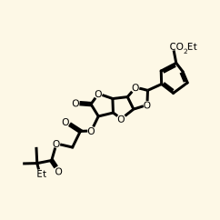 CCOC(=O)c1cccc(C2OC3OC4C(OC(=O)COC(=O)C(C)(C)CC)C(=O)OC4C3O2)c1